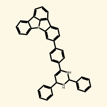 C1=C(c2ccc(-c3ccc4c5cccc6c7ccccc7n(c4c3)c65)cc2)NC(c2ccccc2)NC1c1ccccc1